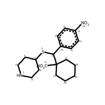 O=C(O)C1(C(SC2CCNCC2)c2ccc([N+](=O)[O-])cc2)CCCCC1